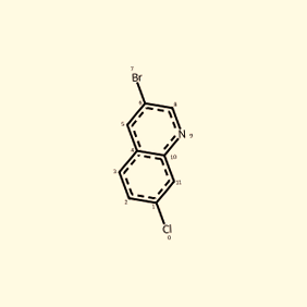 Clc1ccc2cc(Br)cnc2c1